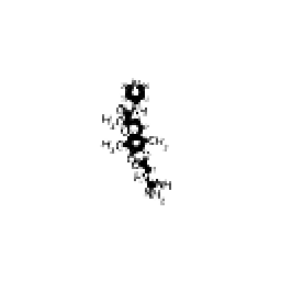 Cc1c(C)c2c(c(C)c1OC(=O)CNC(=N)N)CCC(C)(C(=O)Nc1ccncc1)O2